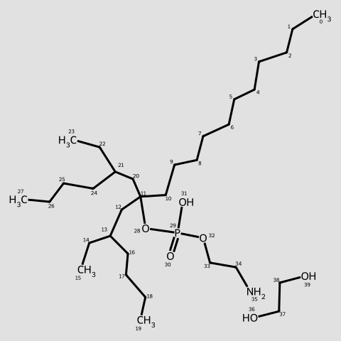 CCCCCCCCCCCC(CC(CC)CCCC)(CC(CC)CCCC)OP(=O)(O)OCCN.OCCO